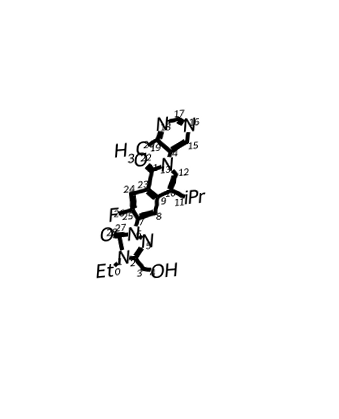 CCn1c(CO)nn(-c2cc3c(C(C)C)cn(-c4cncnc4C)c(=O)c3cc2F)c1=O